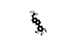 COc1cc(-c2ccc3cc(CC(=O)O)ccc3c2)cc(OC)c1OC